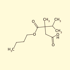 CCCCOC(=O)C(C)(CC(=O)O)C(C)C